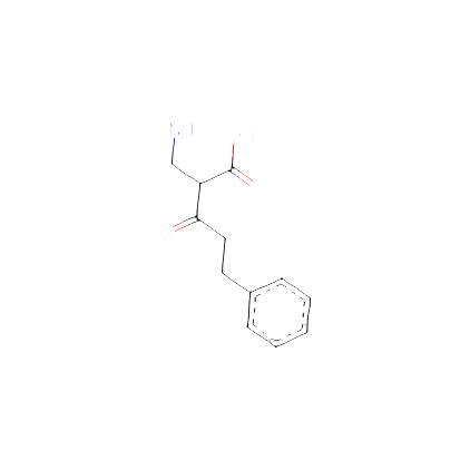 NCC(C(=O)O)C(=O)CCc1ccccc1